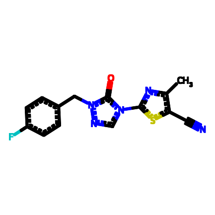 Cc1nc(-n2cnn(Cc3ccc(F)cc3)c2=O)sc1C#N